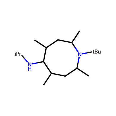 CC(C)NC1C(C)CC(C)N(C(C)(C)C)C(C)CC1C